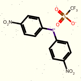 O=S(=O)([O-])C(F)(F)F.O=[N+]([O-])c1ccc([I+]c2ccc([N+](=O)[O-])cc2)cc1